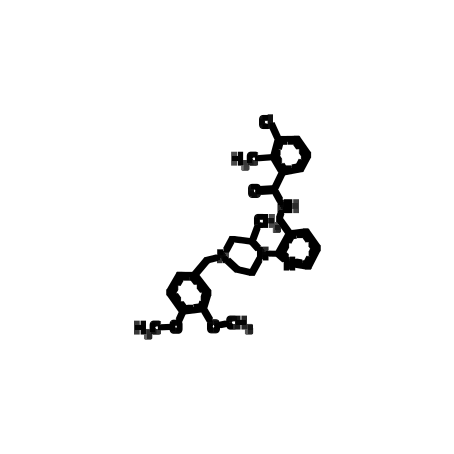 COc1ccc(CN2CCN(c3ncccc3CNC(=O)c3cccc(Cl)c3C)C(C)C2)cc1OC